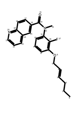 CCCC=CCOc1cccc(N(C)C(=O)c2ccc3ncccc3c2)c1F